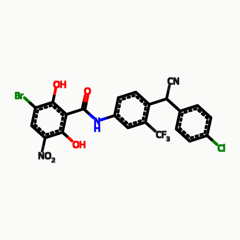 N#CC(c1ccc(Cl)cc1)c1ccc(NC(=O)c2c(O)c(Br)cc([N+](=O)[O-])c2O)cc1C(F)(F)F